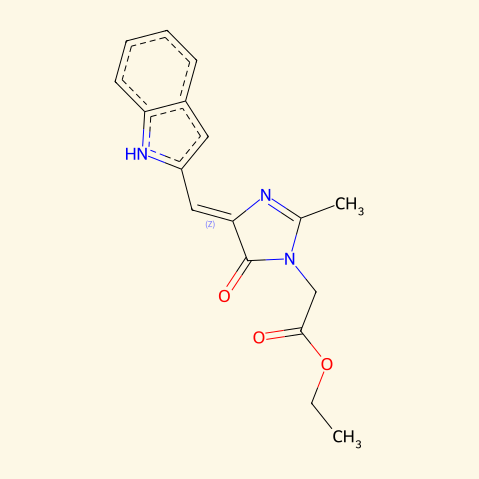 CCOC(=O)CN1C(=O)/C(=C/c2cc3ccccc3[nH]2)N=C1C